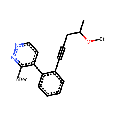 CCCCCCCCCCc1nnccc1-c1ccccc1C#CCC(C)OCC